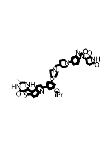 CC(C)Oc1cc(-c2ccc3c(ccc4sc5c(c43)NC[C@@H](C)NC5=O)n2)cc(N2CCN(CC3CCN(c4ccc5c(c4)n(C)c(=O)n5C4CCC(=O)NC4=O)CC3)CC2)c1